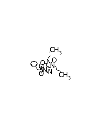 CCCCn1c(=O)c2c(ncn2S(=O)(=O)Cc2ccccc2)n(CCCC)c1=O